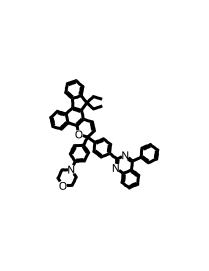 CCC1(CC)c2ccccc2-c2c1c1c(c3ccccc23)OC(c2ccc(-c3nc(-c4ccccc4)c4ccccc4n3)cc2)(c2ccc(N3CCOCC3)cc2)C=C1